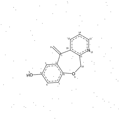 C=C1c2cc(O)ccc2OCc2ncccc21